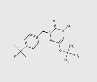 COC(=O)[C@H](Cc1ccc(C(F)(F)F)cc1)NC(=O)OC(C)(C)C